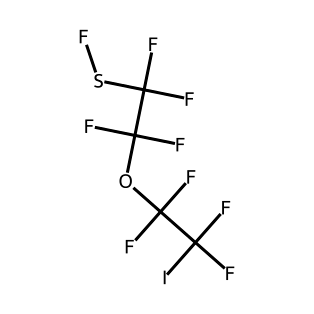 FSC(F)(F)C(F)(F)OC(F)(F)C(F)(F)I